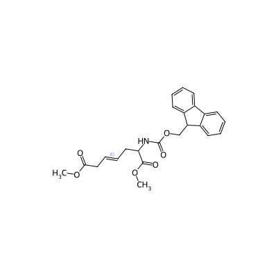 COC(=O)C/C=C/CC(NC(=O)OCC1c2ccccc2-c2ccccc21)C(=O)OC